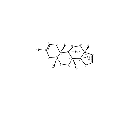 C[C@]12CC=C(I)C[C@@H]1CC[C@@H]1[C@@H]2CC[C@]2(C)C=CC[C@@H]12